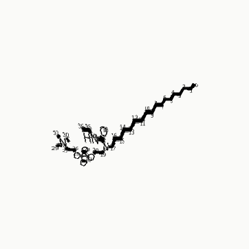 CCCCCCCCCCCCCCCCCCN(CCOP(=O)([O-])OCC[N+](C)(C)C)C(=O)NCC